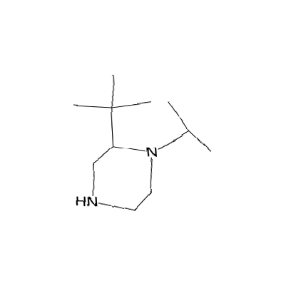 CC(C)N1CCNCC1C(C)(C)C